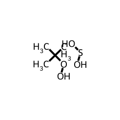 CC(C)(C)OO.OSO